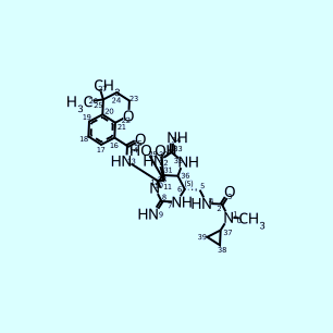 CN(C(=O)NC[C@@H]1NC(=N)N2CC(NC(=O)c3cccc4c3OCCC4(C)C)C(O)(O)C23NC(=N)NC13)C1CC1